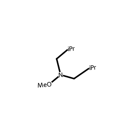 CON(CC(C)C)CC(C)C